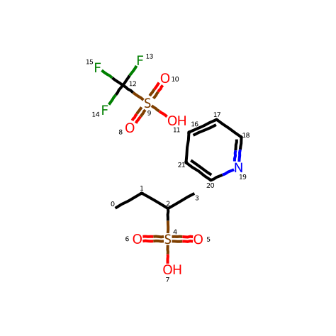 CCC(C)S(=O)(=O)O.O=S(=O)(O)C(F)(F)F.c1ccncc1